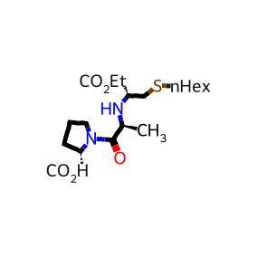 CCCCCCSC[C@H](N[C@@H](C)C(=O)N1CCC[C@H]1C(=O)O)C(=O)OCC